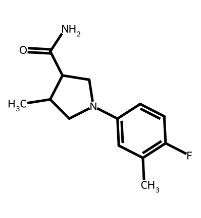 Cc1cc(N2CC(C)C(C(N)=O)C2)ccc1F